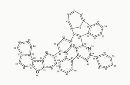 C1=CC=C2CC(=C1)C(c1ccc(-c3ccc4oc5ccc6ccccc6c5c4c3)cc1)=C(c1nc(-c3ccccc3)nc(-c3ccccc3)n1)c1ccccc12